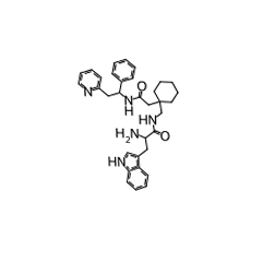 NC(Cc1c[nH]c2ccccc12)C(=O)NCC1(CC(=O)NC(Cc2ccccn2)c2ccccc2)CCCCC1